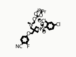 CC(C)OP(=O)(OCN(C)CC1(COc2ccc(C#N)c(F)c2)CN(S(=O)(=O)c2ccc(Cl)cc2Cl)C1)OC(C)C